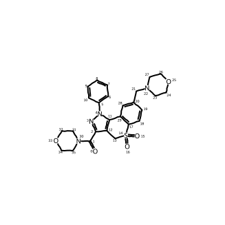 O=C(c1nn(-c2ccccc2)c2c1CS(=O)(=O)c1ccc(CN3CCOCC3)cc1-2)N1CCOCC1